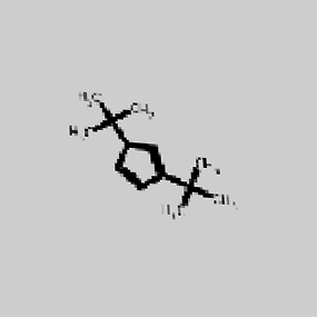 CC(C)(C)C1=CC(C(C)(C)C)[C]=C1